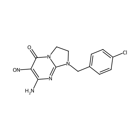 Nc1nc2n(c(=O)c1N=O)CCN2Cc1ccc(Cl)cc1